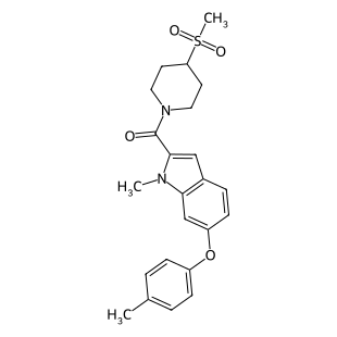 Cc1ccc(Oc2ccc3cc(C(=O)N4CCC(S(C)(=O)=O)CC4)n(C)c3c2)cc1